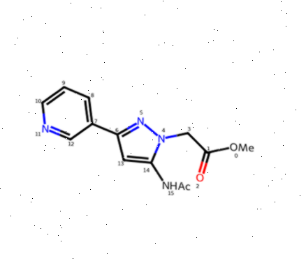 COC(=O)Cn1nc(-c2cccnc2)cc1NC(C)=O